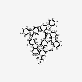 N#Cc1cc(C(F)(F)F)ccc1-c1cc(-n2c3ccccc3c3ccc(-n4c5ccccc5c5ccccc54)cc32)c(C#N)cc1-n1c2ccccc2c2ccc(-n3c4ccccc4c4ccccc43)cc21